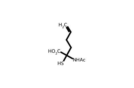 C=CCCC(S)(NC(C)=O)C(=O)O